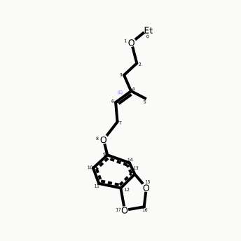 CCOCC/C(C)=C/COc1ccc2c(c1)OCO2